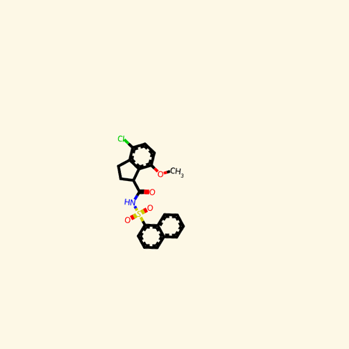 COc1ccc(Cl)c2c1C(C(=O)NS(=O)(=O)c1cccc3ccccc13)CC2